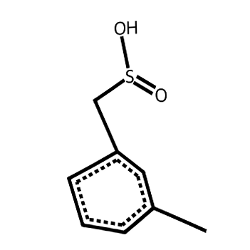 Cc1cccc(CS(=O)O)c1